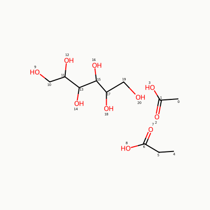 CC(=O)O.CCC(=O)O.OCC(O)C(O)C(O)C(O)CO